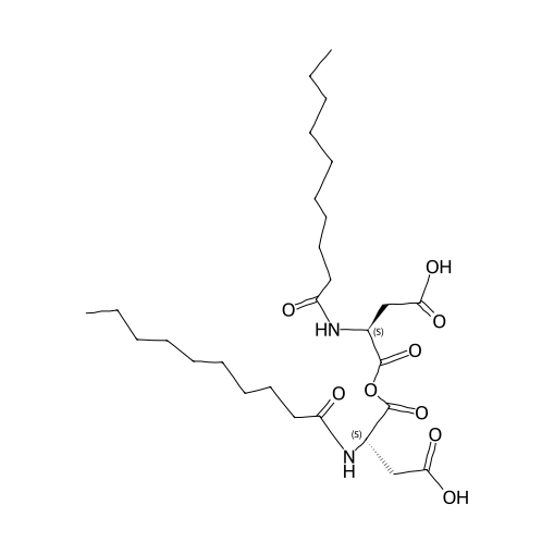 CCCCCCCCCC(=O)N[C@@H](CC(=O)O)C(=O)OC(=O)[C@H](CC(=O)O)NC(=O)CCCCCCCCC